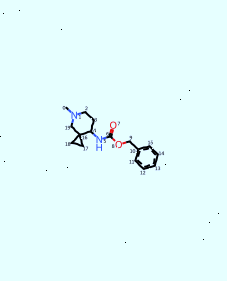 CN1CCC(NC(=O)OCc2ccccc2)C2(CC2)C1